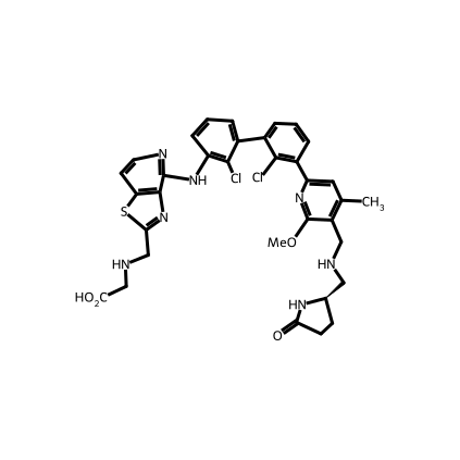 COc1nc(-c2cccc(-c3cccc(Nc4nccc5sc(CNCC(=O)O)nc45)c3Cl)c2Cl)cc(C)c1CNC[C@H]1CCC(=O)N1